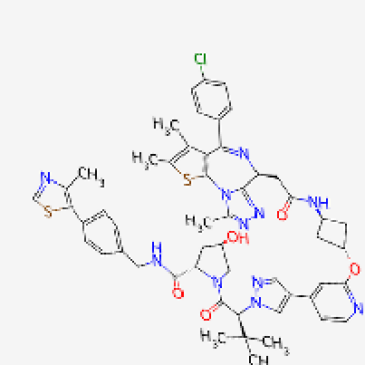 Cc1ncsc1-c1ccc(CNC(=O)[C@@H]2C[C@@H](O)CN2C(=O)[C@@H](n2cc(-c3ccnc(O[C@H]4C[C@H](NC(=O)C[C@@H]5N=C(c6ccc(Cl)cc6)c6c(sc(C)c6C)-n6c(C)nnc65)C4)c3)cn2)C(C)(C)C)cc1